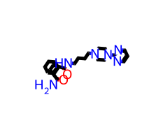 NC(=O)C1C2C=CC(CC2)C1C(=O)NCCCCN1CCN(c2ncccn2)CC1